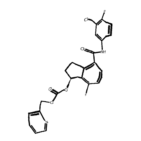 O=C(OCc1ccccn1)O[C@H]1CCc2c(C(=O)Nc3ccc(F)c(Cl)c3)ccc(F)c21